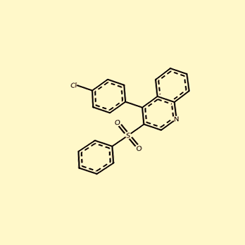 O=S(=O)(c1ccccc1)c1cnc2ccccc2c1-c1ccc(Cl)cc1